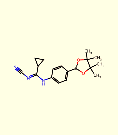 CC1(C)OB(c2ccc(N/C(=N/C#N)C3CC3)cc2)OC1(C)C